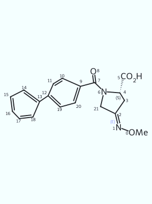 CO/N=C1\C[C@@H](C(=O)O)N(C(=O)c2ccc(-c3ccccc3)cc2)C1